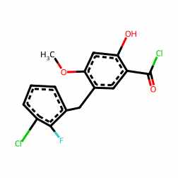 COc1cc(O)c(C(=O)Cl)cc1Cc1cccc(Cl)c1F